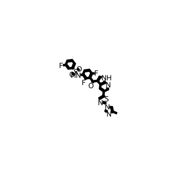 Cc1cn(-c2ncc(-c3cnc4[nH]cc(C(=O)c5c(F)ccc(NS(=O)(=O)c6cccc(F)c6)c5F)c4c3)s2)cn1